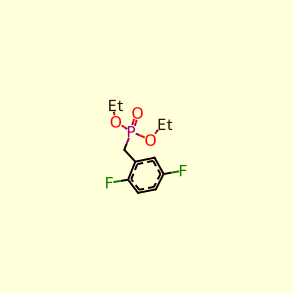 CCOP(=O)(Cc1cc(F)ccc1F)OCC